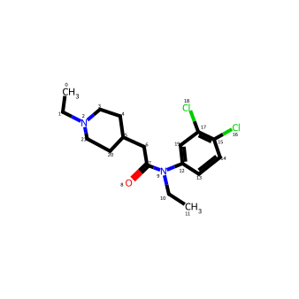 CCN1CCC(CC(=O)N(CC)c2ccc(Cl)c(Cl)c2)CC1